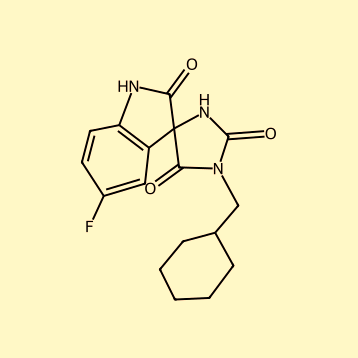 O=C1NC2(C(=O)Nc3ccc(F)cc32)C(=O)N1CC1CCCCC1